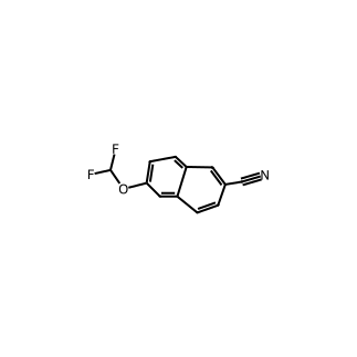 N#Cc1ccc2cc(OC(F)F)ccc2c1